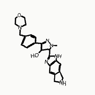 CN1N=C(c2ccc(CN3CCOCC3)cc2)C(O)C1c1nc2cc3c(cc2[nH]1)CNC3